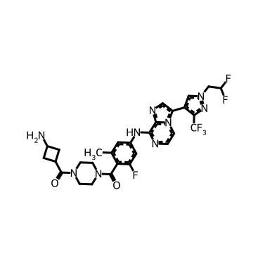 Cc1cc(Nc2nccn3c(-c4cn(CC(F)F)nc4C(F)(F)F)cnc23)cc(F)c1C(=O)N1CCN(C(=O)C2CC(N)C2)CC1